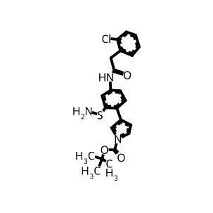 CC(C)(C)OC(=O)n1ccc(-c2ccc(NC(=O)Cc3ccccc3Cl)cc2SN)c1